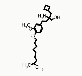 COc1cc(CCC(N)(CO)CC2CCC2)ccc1OCCCCCCCC(C)C